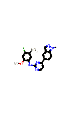 CCOc1cc(F)c([N+](=O)[O-])cc1Nc1nccc(-c2ccc3c(cnn3C)c2)n1